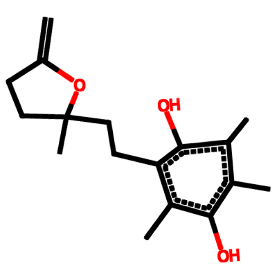 C=C1CCC(C)(CCc2c(C)c(O)c(C)c(C)c2O)O1